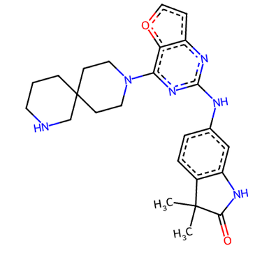 CC1(C)C(=O)Nc2cc(Nc3nc(N4CCC5(CCCNC5)CC4)c4occc4n3)ccc21